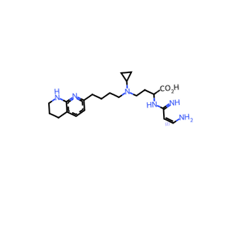 N=C(/C=C\N)NC(CCN(CCCCc1ccc2c(n1)NCCC2)C1CC1)C(=O)O